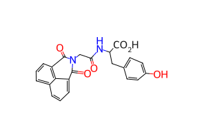 O=C(CN1C(=O)c2cccc3cccc(c23)C1=O)NC(Cc1ccc(O)cc1)C(=O)O